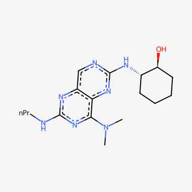 CCCNc1nc(N(C)C)c2nc(N[C@H]3CCCC[C@@H]3O)ncc2n1